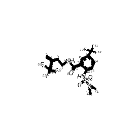 C=C(CCNC(=O)c1cc(C(F)(F)F)ccc1NS(=O)(=O)N(C)C)C(F)(F)F